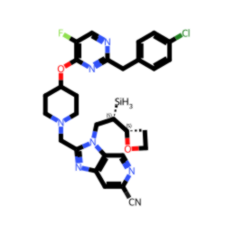 N#Cc1cc2nc(CN3CCC(Oc4nc(Cc5ccc(Cl)cc5)ncc4F)CC3)n(C[C@H]([SiH3])[C@@H]3CCO3)c2cn1